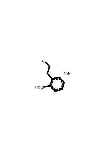 CC(=O)CCc1ccccc1S(=O)(=O)O.[NaH]